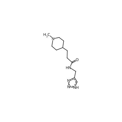 CN1CCC(CCC(=O)NCc2c[nH]nn2)CC1